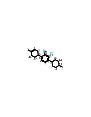 CC1=CCC(c2ccc(C3CCC(C)CC3)c(F)c2F)CC1